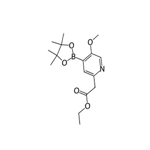 CCOC(=O)Cc1cc(B2OC(C)(C)C(C)(C)O2)c(OC)cn1